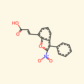 O=C(O)/C=C/c1cccc2c(-c3ccccc3)c([N+](=O)[O-])oc12